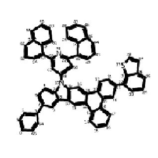 c1ccc(-c2ccc3c(c2)c2cc4c5ccccc5c5cc(-c6cccc7ccsc67)ccc5c4cc2n3-c2cc(-c3cccc4ccccc34)nc(-c3cccc4ccccc34)c2)cc1